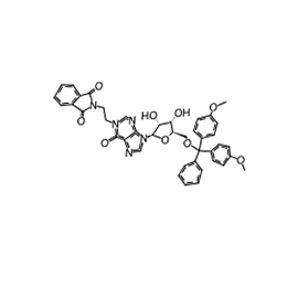 COc1ccc(C(OC[C@H]2O[C@@H](n3cnc4c(=O)n(CCN5C(=O)c6ccccc6C5=O)cnc43)[C@H](O)[C@@H]2O)(c2ccccc2)c2ccc(OC)cc2)cc1